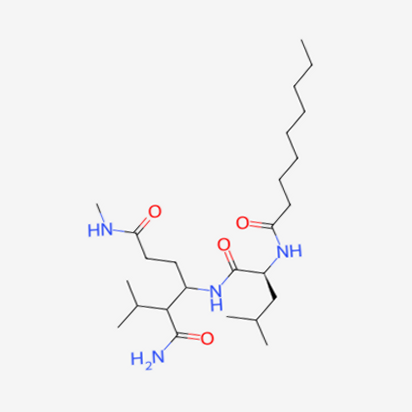 CCCCCCCCC(=O)N[C@@H](CC(C)C)C(=O)NC(CCC(=O)NC)C(C(N)=O)C(C)C